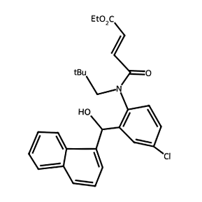 CCOC(=O)C=CC(=O)N(CC(C)(C)C)c1ccc(Cl)cc1C(O)c1cccc2ccccc12